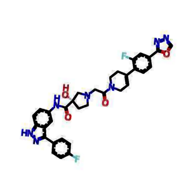 O=C(CN1CC[C@@](O)(C(=O)Nc2ccc3[nH]nc(-c4ccc(F)cc4)c3c2)C1)N1CC=C(c2ccc(-c3nnco3)cc2F)CC1